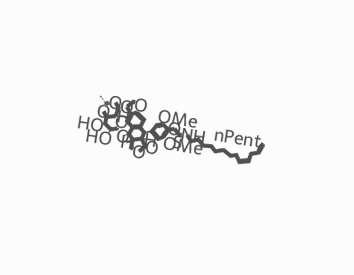 CCCCC/C=C\C/C=C\CCCCCCCCNC(=S)Oc1c(OC)cc([C@@H]2c3cc4c(cc3[C@@H](O[C@@H]3O[C@@H]5CO[C@@H](C)OC5[C@H](O)[C@H]3O)[C@H]3COC(=O)[C@H]23)OCO4)cc1OC